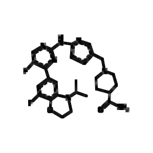 CC(C)N1CCOc2c(F)cc(-c3nc(Nc4ccc(CN5CCC(C(N)=O)CC5)cn4)ncc3F)cc21